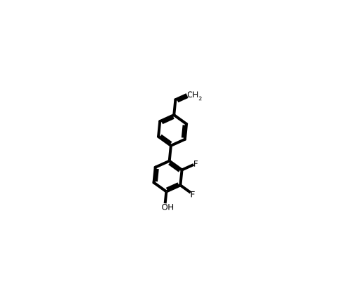 C=Cc1ccc(-c2ccc(O)c(F)c2F)cc1